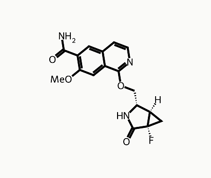 COc1cc2c(OC[C@H]3NC(=O)[C@]4(F)C[C@H]34)nccc2cc1C(N)=O